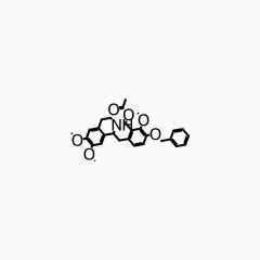 COc1cc2c(cc1OC)C(Cc1ccc(OCc3ccccc3)c(OC)c1COC(C)=O)NCC2